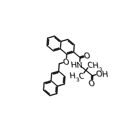 CC(C)(NC(=O)c1ccc2ccccc2c1OCc1ccc2ccccc2c1)C(=O)O